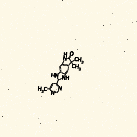 Cc1cc(C2Nc3cc4c(cc3N2)C(C)(C)C(=O)N4)ncn1